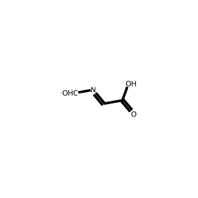 O=[C]N=CC(=O)O